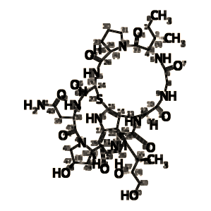 CC[C@H](C)[C@@H]1NC(=O)CNC(=O)[C@@H]2Cc3c([nH]c4ccccc34)S[C@H](NC(=O)[C@H]3CCCN3C1=O)C(=O)NC(CC(N)=O)C(=O)N1C[C@H](O)C[C@H]1C(=O)N[C@@H]([C@@H](C)[C@@H](O)CO)C(=O)N2